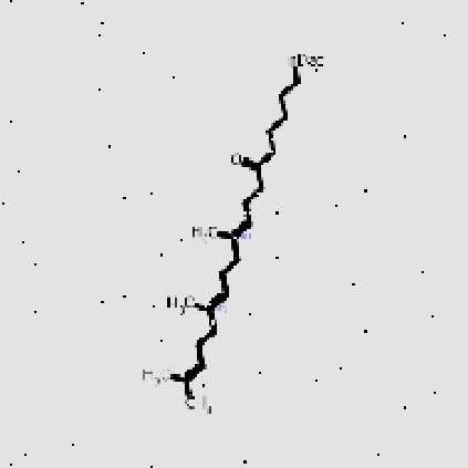 CCCCCCCCCCCCCCCC(=O)CC/C=C(\C)CC/C=C(\C)CCC=C(C)C